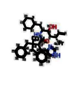 C=C[C@@H](C[C@H](O)[C@H](CC1CCCCC1)NC(=O)[C@@H](Cc1c[nH]cn1)C(Cc1ccccc1)(Cc1ccccc1)C(=O)O)C(C)C